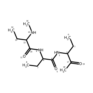 CCC(NC(=O)C(CC)NC(=O)C(CC)NC)C(C)=O